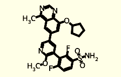 COc1ncc(-c2cc(OC3CCCC3)c3ncnc(C)c3c2)cc1-c1c(F)ccc(S(N)(=O)=O)c1F